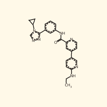 CCNc1ccc(-c2ccnc(C(=O)Nc3cccc(-c4nncn4C4CC4)c3)c2)cn1